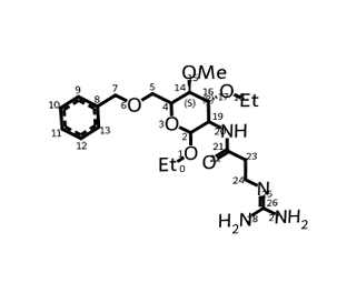 CCOC1OC(COCc2ccccc2)[C@@H](OC)[C@H](OCC)C1NC(=O)CCN=C(N)N